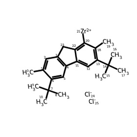 Cc1cc2c(cc1C(C)(C)C)-c1cc(C(C)(C)C)c(C)[c]([Zr+2])c1C2.[Cl-].[Cl-]